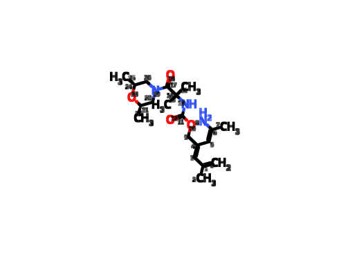 C=C(C)/C=C(\C=C(\C)N)COC(=O)NC(C)(C)C(=O)N1C[C@@H](C)O[C@@H](C)C1